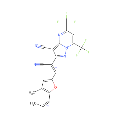 C/C=C\c1oc(/C=C(\C#N)c2nn3c(C(F)(F)F)cc(C(F)(F)F)nc3c2C#N)cc1C